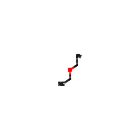 [CH2]C(C)COCC#N